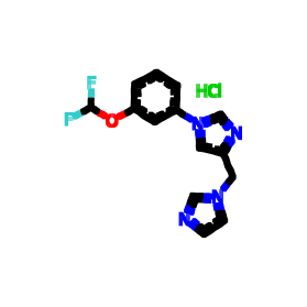 Cl.FC(F)Oc1cccc(-n2cnc(Cn3ccnc3)c2)c1